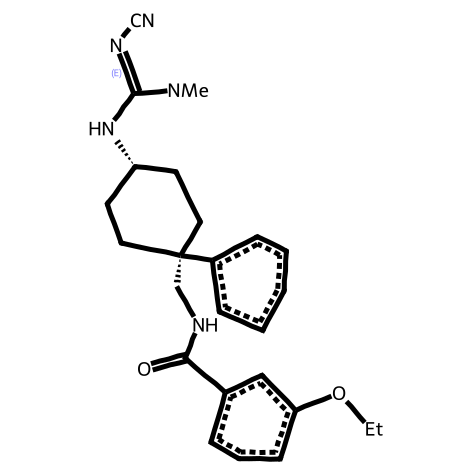 CCOc1cccc(C(=O)NC[C@]2(c3ccccc3)CC[C@H](N/C(=N/C#N)NC)CC2)c1